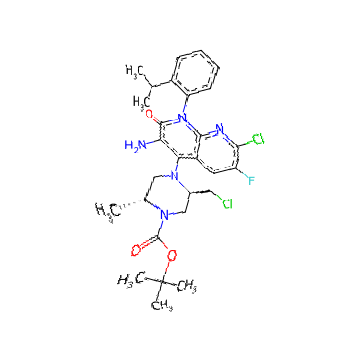 CC(C)c1ccccc1-n1c(=O)c(N)c(N2C[C@@H](C)N(C(=O)OC(C)(C)C)C[C@@H]2CCl)c2cc(F)c(Cl)nc21